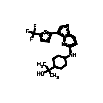 CC(C)(O)C1CCC(Nc2ccc3ncc(-c4ccc(C(F)(F)F)s4)n3n2)CC1